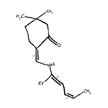 C/C=C\C=C(/CC)N/C=C1/CCC(C)(C)CC1=O